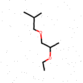 CCOC(C)COCC(C)C